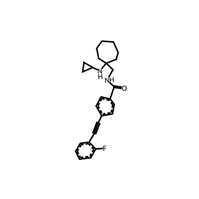 O=C(NCC1(NC2CC2)CCCCCC1)c1ccc(C#Cc2ccccc2F)cc1